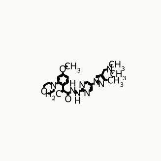 C=C(C(=O)NNc1ncc(-n2cc(CN(C)C)c(C)n2)cn1)c1ccc(OC)cc1N1CCOCC1